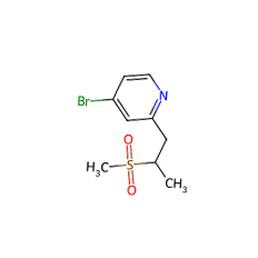 CC(Cc1cc(Br)ccn1)S(C)(=O)=O